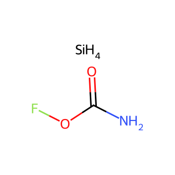 NC(=O)OF.[SiH4]